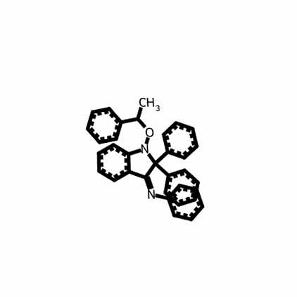 CC(ON1c2ccccc2/C(=N/c2ccccc2)C1(c1ccccc1)c1ccccc1)c1ccccc1